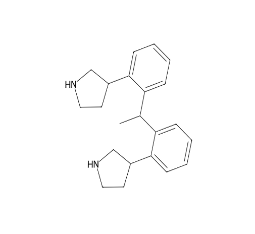 CC(c1ccccc1C1CCNC1)c1ccccc1C1CCNC1